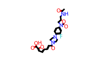 CC(=O)NCC1CN(c2ccc(N3CCN(C(=O)C=Cc4ccc(C(=O)O)o4)CC3)c(F)c2)C(=O)O1